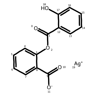 O=C(Oc1ccccc1C(=O)[O-])c1ccccc1O.[Ag+]